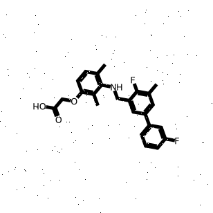 Cc1cc(-c2cccc(F)c2)cc(CNc2c(C)ccc(OCC(=O)O)c2C)c1F